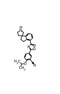 CC(C)Oc1ccc(-c2nc(-c3cccc4c3CCC43CCNC3)no2)cc1C#N